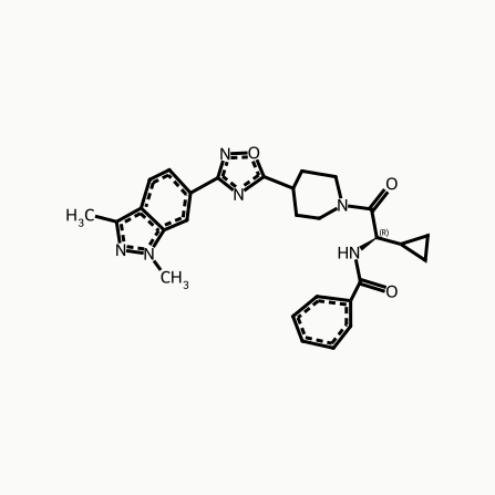 Cc1nn(C)c2cc(-c3noc(C4CCN(C(=O)[C@H](NC(=O)c5ccccc5)C5CC5)CC4)n3)ccc12